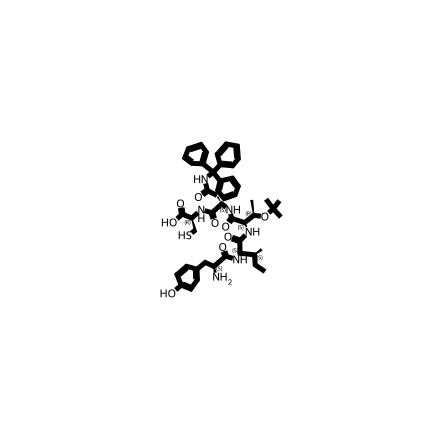 CC[C@H](C)[C@H](NC(=O)[C@@H](N)Cc1ccc(O)cc1)C(=O)N[C@H](C(=O)N[C@@H](CC(=O)NC(c1ccccc1)(c1ccccc1)c1ccccc1)C(=O)N[C@@H](CS)C(=O)O)[C@@H](C)OC(C)(C)C